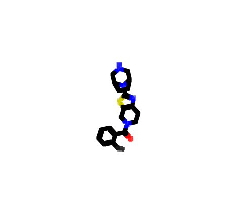 CC(C)c1ccccc1C(=O)N1CCc2nc(N3C4CCC3CNC4)sc2C1